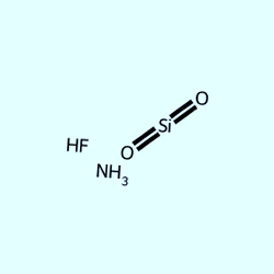 F.N.O=[Si]=O